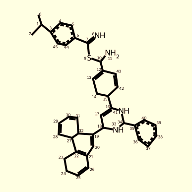 CC(C)c1ccc(C(=N)SC(N)C2=CCC(C3=CC(C4=CC5=C(CCC=C5)C5C=CC=CC45)NC(c4ccccc4)N3)C=C2)cc1